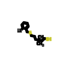 CCc1ccccc1CSCCCC(C)(C)CCS